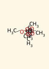 CCCOC[Si]1(CC)O[SiH](CC)O[SiH](CC)O[SiH](CC)O1